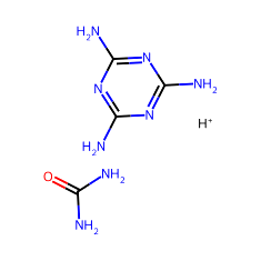 NC(N)=O.Nc1nc(N)nc(N)n1.[H+]